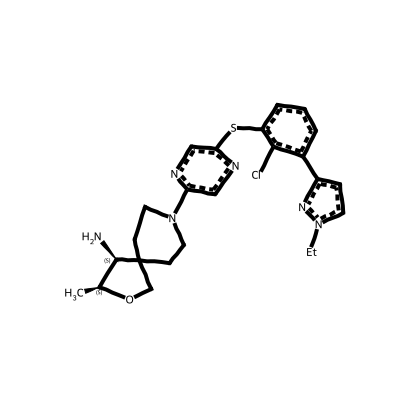 CCn1ccc(-c2cccc(Sc3cnc(N4CCC5(CC4)CO[C@@H](C)[C@H]5N)cn3)c2Cl)n1